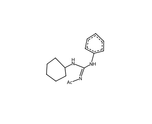 CC(=O)N=C(Nc1ccccc1)NC1CCCCC1